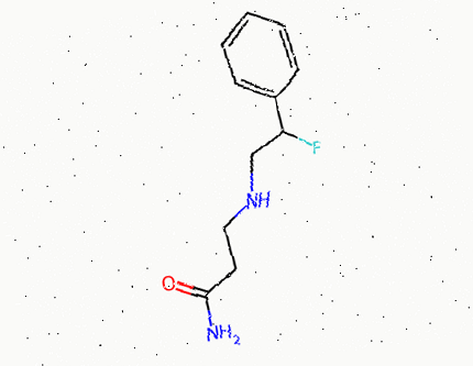 NC(=O)CCNCC(F)c1ccccc1